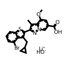 COc1cc(C(=O)O)cn2nc(-c3sc4cccc(Br)c4c3CC3CC3)c(C)c12.[Li+].[OH-]